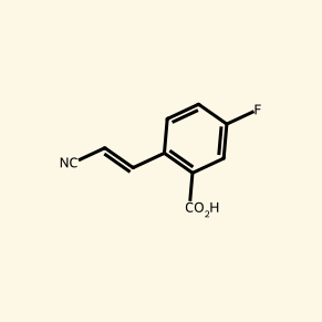 N#C/C=C/c1ccc(F)cc1C(=O)O